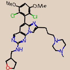 COc1cc(OC)c(Cl)c(-c2cc3cnc(NCC4CCOC4)nc3n3cc(CCCN4CCN(C)CC4)nc23)c1Cl